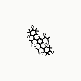 CC(C)C(=O)c1c(O)c([C@H](C2=C(O)C(C)(C)C(=O)C(C)(C)C2=O)C(C)C)c(O)c2c1OC1=C(C(=O)C(C)(C)C(=O)C1(C)C)[C@@H]2C(C)C